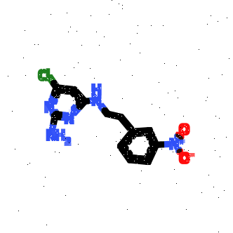 Nc1nc(Cl)cc(NCCc2cccc([N+](=O)[O-])c2)n1